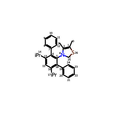 CC1=C(C)N(c2c(-c3ccccc3)c(C(C)C)cc(C(C)C)c2-c2ccccc2)[C]S1